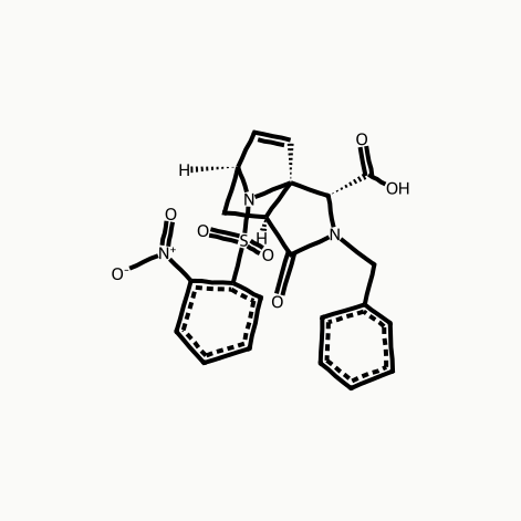 O=C(O)[C@@H]1N(Cc2ccccc2)C(=O)[C@H]2C[C@H]3C=C[C@@]21N3S(=O)(=O)c1ccccc1[N+](=O)[O-]